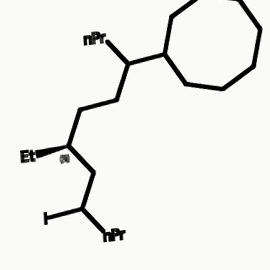 CCCC(I)C[C@@H](CC)CCC(CCC)C1CCCCCCC1